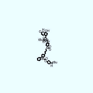 CC(C)(C)NC1CCC(OC(=O)Nc2cc(/C=C/CCn3c(=O)oc4cc(CNC[C@@H](O[Si](C)(C)C(C)(C)C)c5ccc(O)c6[nH]c(=O)ccc56)ccc43)ccc2-c2ccccc2)CC1